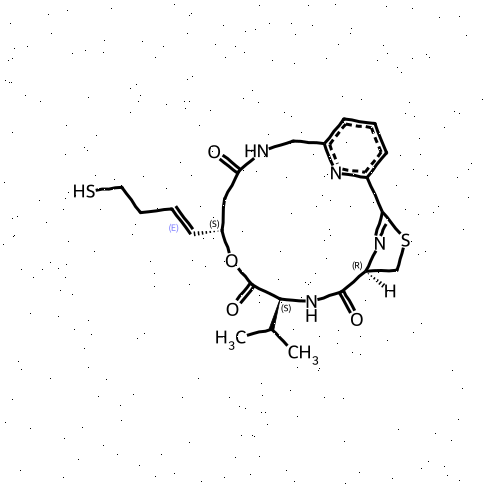 CC(C)[C@@H]1NC(=O)[C@@H]2CSC(=N2)c2cccc(n2)CNC(=O)C[C@@H](/C=C/CCS)OC1=O